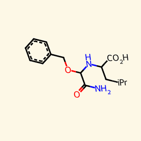 CC(C)CC(NC(OCc1ccccc1)C(N)=O)C(=O)O